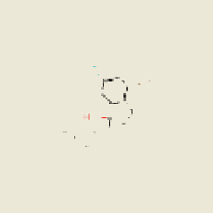 CCOC(=O)CC1(O)CCc2c(Br)cc(F)cc21